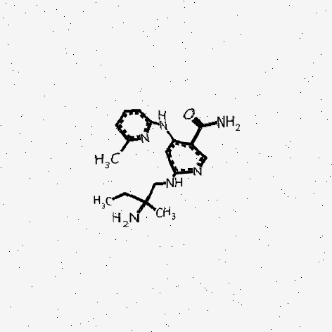 CCC(C)(N)CNc1cc(Nc2cccc(C)n2)c(C(N)=O)cn1